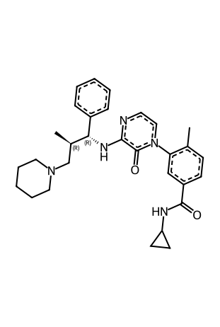 Cc1ccc(C(=O)NC2CC2)cc1-n1ccnc(N[C@@H](c2ccccc2)[C@H](C)CN2CCCCC2)c1=O